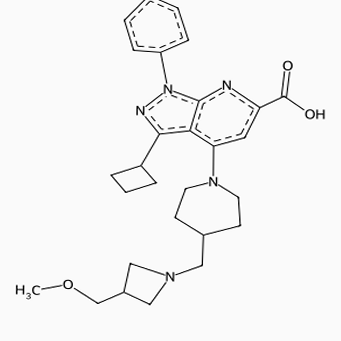 COCC1CN(CC2CCN(c3cc(C(=O)O)nc4c3c(C3CCC3)nn4-c3ccccc3)CC2)C1